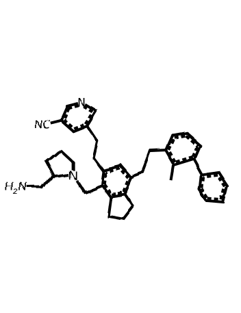 Cc1c(CCc2cc(CCc3cncc(C#N)c3)c(CN3CCCC3CN)c3c2CCC3)cccc1-c1ccccc1